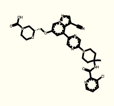 CC1(NC(=O)c2ncccc2Cl)CCN(c2cnc(-c3cc(OC[C@H]4CN(C(=O)O)CCO4)cn4ncc(C#N)c34)cn2)CC1